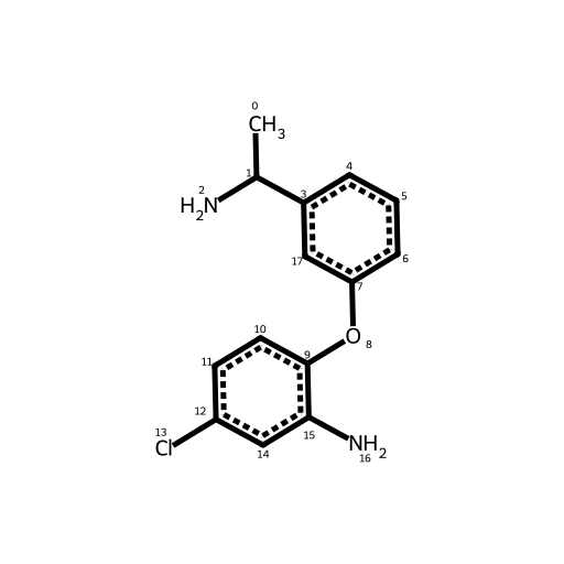 CC(N)c1cccc(Oc2ccc(Cl)cc2N)c1